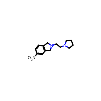 O=[N+]([O-])c1ccc2c(c1)CN(CCN1CCCC1)C2